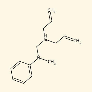 C=CC[SiH](CC=C)CN(C)c1ccccc1